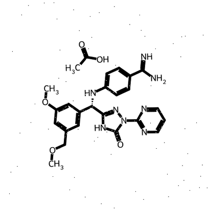 CC(=O)O.COCc1cc(OC)cc([C@H](Nc2ccc(C(=N)N)cc2)c2nn(-c3ncccn3)c(=O)[nH]2)c1